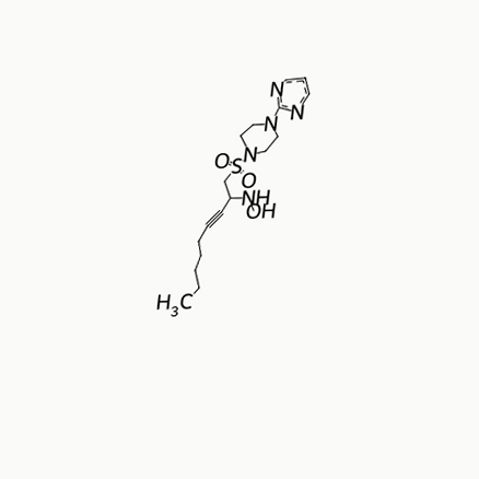 CCCCCC#CC(CS(=O)(=O)N1CCN(c2ncccn2)CC1)NO